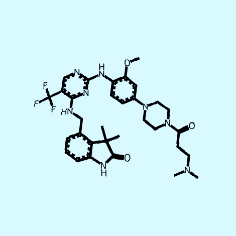 COc1cc(N2CCN(C(=O)CCN(C)C)CC2)ccc1Nc1ncc(C(F)(F)F)c(NCc2cccc3c2C(C)(C)C(=O)N3)n1